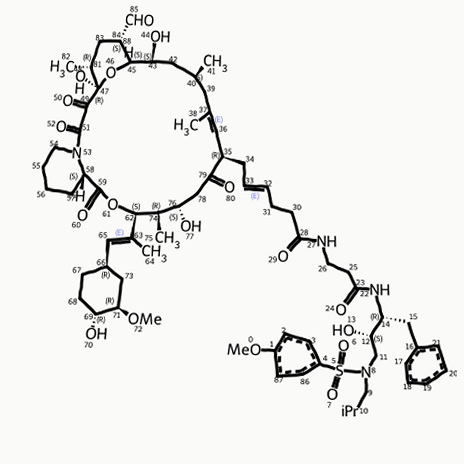 COc1ccc(S(=O)(=O)N(CC(C)C)C[C@H](O)[C@@H](Cc2ccccc2)NC(=O)CCNC(=O)CC/C=C/C[C@@H]2/C=C(\C)C[C@H](C)C[C@H](O)[C@H]3O[C@@](O)(C(=O)C(=O)N4CCCC[C@H]4C(=O)O[C@H](/C(C)=C/[C@@H]4CC[C@@H](O)[C@H](OC)C4)[C@H](C)[C@@H](O)CC2=O)[C@H](C)C[C@@H]3C=O)cc1